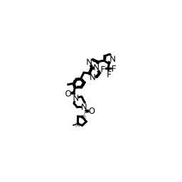 Cc1cc(Cc2nccn3c(C4=CCN=C4C(F)(F)F)cnc23)ccc1C(=O)N1CCN(C(=O)[C@@H]2CC[C@@H](C)C2)CC1